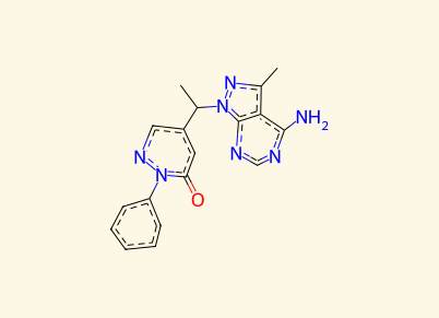 Cc1nn(C(C)c2cnn(-c3ccccc3)c(=O)c2)c2ncnc(N)c12